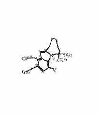 CCOC(=O)C1(C(=O)OCC)CCc2cc3c(Cl)c(Cl)cc(Br)c3n21